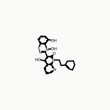 O=c1c(C2=NSc3cccc(O)c3N2O)c(O)c2cccnc2n1CCC1=CCCCC1